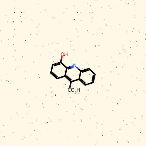 O=C(O)c1c2ccccc2nc2c(O)cccc12